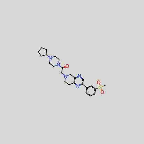 CS(=O)(=O)c1cccc(-c2cnc3c(n2)CCN(CC(=O)N2CCN(C4CCCC4)CC2)C3)c1